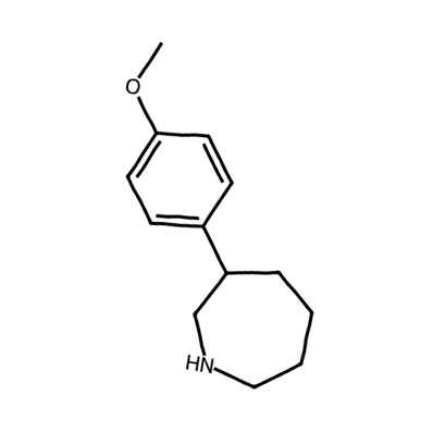 COc1ccc(C2CCCCNC2)cc1